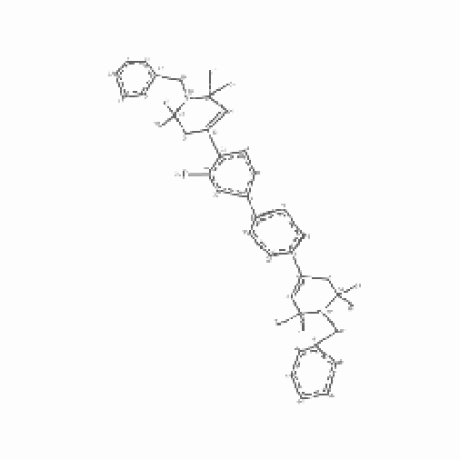 CC1(C)C=C(c2ccc(-c3ccc(C4=CC(C)(C)N(Cc5ccccc5)C(C)(C)C4)c(F)c3)cc2)CC(C)(C)N1Cc1ccccc1